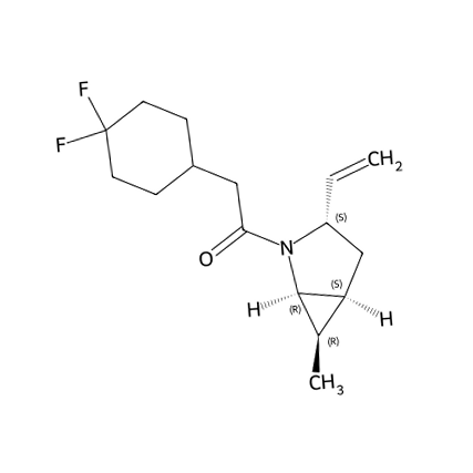 C=C[C@@H]1C[C@H]2[C@@H](C)[C@H]2N1C(=O)CC1CCC(F)(F)CC1